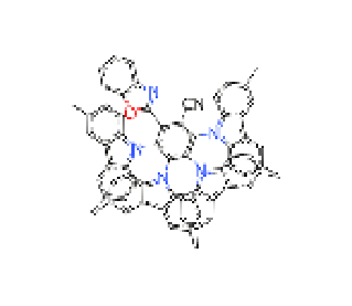 Cc1ccc2c(c1)c1cc(C)ccc1n2-c1c(C#N)c(-c2nc3ccccc3o2)c(-n2c3ccc(C)cc3c3cc(C)ccc32)c(-n2c3ccc(C)cc3c3cc(C)ccc32)c1-n1c2ccc(C)cc2c2cc(C)ccc21